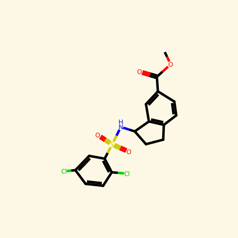 COC(=O)c1ccc2c(c1)C(NS(=O)(=O)c1cc(Cl)ccc1Cl)CC2